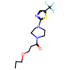 CCCOCCC(=O)N1CCN(c2ncc(C(F)(F)F)s2)CC1